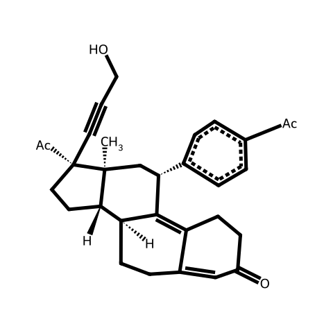 CC(=O)c1ccc([C@H]2C[C@@]3(C)[C@@H](CC[C@]3(C#CCO)C(C)=O)[C@@H]3CCC4=CC(=O)CCC4=C32)cc1